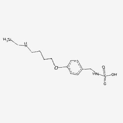 O=S(=O)(O)NCc1ccc(OCCCCNC[SiH3])cc1